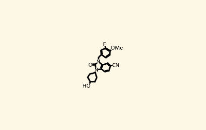 COc1ccc(Cn2c(=O)n(C3CCC(O)CC3)c3ccc(C#N)cc32)cc1F